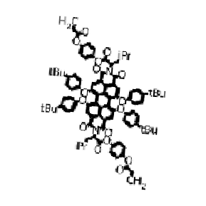 C=CC(=O)Oc1ccc(OC(=O)C(CC(C)C)N2C(=O)c3cc(Oc4ccc(C(C)(C)C)cc4)c4c5c(Oc6ccc(C(C)(C)C)cc6)cc6c7c(cc(Oc8ccc(C(C)(C)C)cc8)c(c8c(Oc9ccc(C(C)(C)C)cc9)cc(c3c48)C2=O)c75)C(=O)N(C(CC(C)C)C(=O)Oc2ccc(OC(=O)C=C)cc2)C6=O)cc1